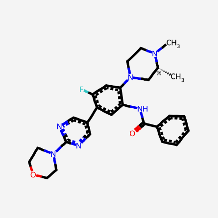 C[C@@H]1CN(c2cc(F)c(-c3cnc(N4CCOCC4)nc3)cc2NC(=O)c2ccccc2)CCN1C